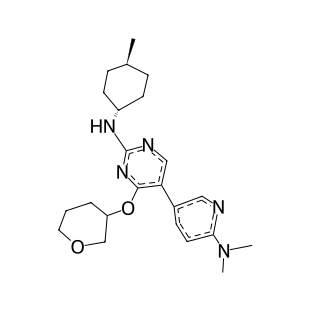 CN(C)c1ccc(-c2cnc(N[C@H]3CC[C@H](C)CC3)nc2OC2CCCOC2)cn1